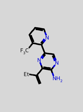 C=C(CC)c1nc(-c2ncccc2C(F)(F)F)cnc1N